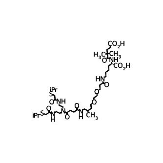 CC(CCOCCOCCC(=O)NCCCC[C@H](NC(=O)C(C)(C)CCC(=O)O)C(=O)O)CNC(=O)CCC(=O)N(CCNC(=O)CSC(C)C)CCNC(=O)CSC(C)C